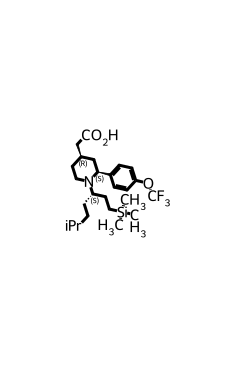 CC(C)CC[C@@H](CC[Si](C)(C)C)N1CC[C@@H](CC(=O)O)C[C@H]1c1ccc(OC(F)(F)F)cc1